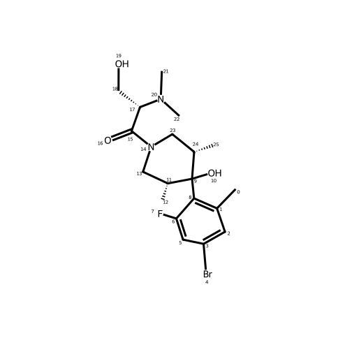 Cc1cc(Br)cc(F)c1C1(O)[C@H](C)CN(C(=O)[C@H](CO)N(C)C)C[C@@H]1C